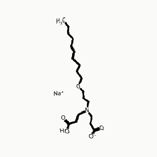 CCCCCCCCCCOCCCN(CCC(=O)[O-])CCC(=O)O.[Na+]